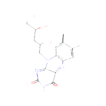 Cc1cc2nc3c(=O)[nH]c(=O)nc-3n(CC(O)CC(O)CO)c2cc1C